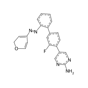 Nc1ncc(-c2ccc(-c3ccccc3N=NC3=CCOC=C3)cc2F)cn1